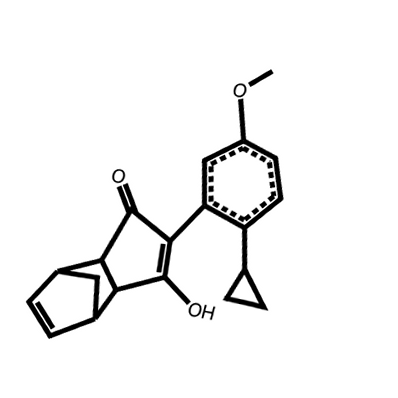 COc1ccc(C2CC2)c(C2=C(O)C3C4C=CC(C4)C3C2=O)c1